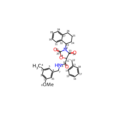 COc1cc(C)cc(CNC(=O)[C@@]2(Cc3ccccc3)OC(=O)N(C3CCCc4ccccc43)C2=O)c1